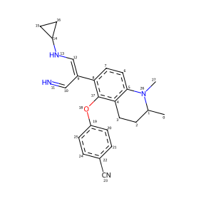 CC1CCc2c(ccc(/C(C=N)=C/NC3CC3)c2Oc2ccc(C#N)cc2)N1C